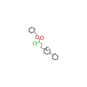 O=C(OCc1ccccc1)C(Cl)CCc1ccc(-c2ccccc2)cc1